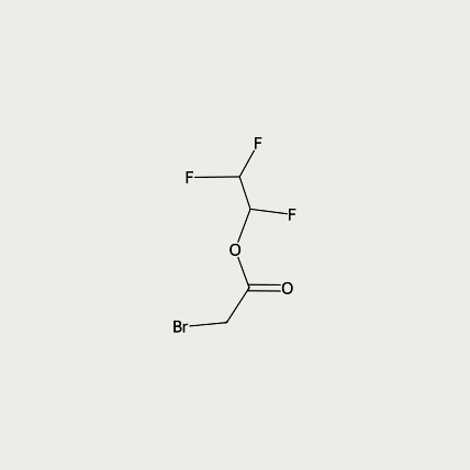 O=C(CBr)OC(F)C(F)F